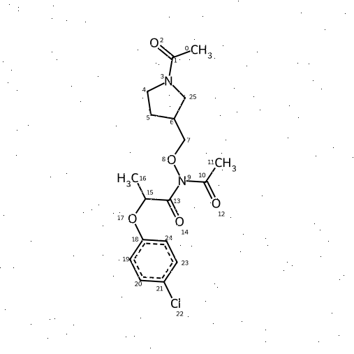 CC(=O)N1CCC(CON(C(C)=O)C(=O)C(C)Oc2ccc(Cl)cc2)C1